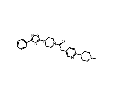 CN1CCN(c2ccc(NC(=O)N3CCN(c4nc(-c5ccccc5)ns4)CC3)cn2)CC1